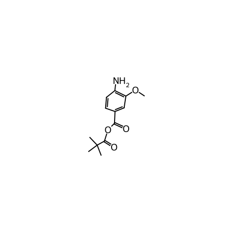 COc1cc(C(=O)OC(=O)C(C)(C)C)ccc1N